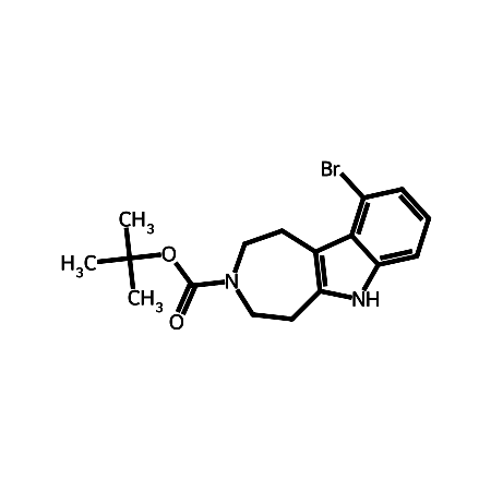 CC(C)(C)OC(=O)N1CCc2[nH]c3cccc(Br)c3c2CC1